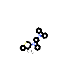 C=C1/C=C(n2c3ccccc3c3cc(-n4c5ccccc5c5ccccc54)ccc32)\C=C/Sc2ccccc21